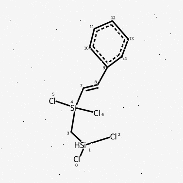 Cl[SiH](Cl)C[Si](Cl)(Cl)C=Cc1ccccc1